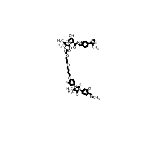 C/N=C/c1ccc(N2C(=O)C(C)(C)N(c3ccc(OCCCCOCCCOCC(=O)N[C@H](C(=O)N4C[C@H](O)C[C@H]4C(=O)NCc4ccc(-c5scnc5C)cc4)C(C)(C)C)c(F)c3)C2=S)cc1Cl